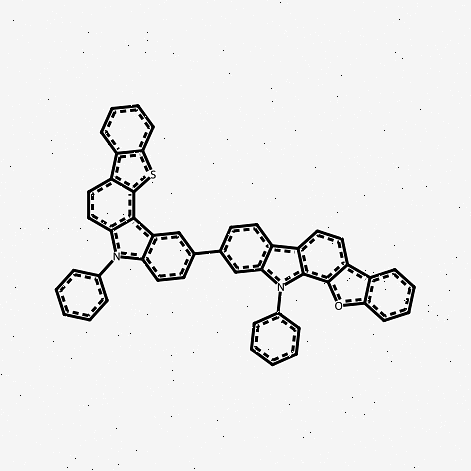 c1ccc(-n2c3ccc(-c4ccc5c6ccc7c8ccccc8oc7c6n(-c6ccccc6)c5c4)cc3c3c4sc5ccccc5c4ccc32)cc1